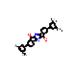 O=c1c2cc(-c3cc(C(F)(F)F)cc(C(F)(F)F)c3)ccc2c2nc3c(=O)c4cc(-c5cc(C(F)(F)F)cc(C(F)(F)F)c5)ccc4c3nc12